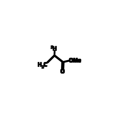 [2H]C(C)C(=O)OC